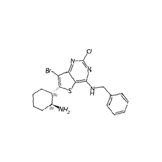 N[C@H]1CCCC[C@@H]1c1sc2c(NCc3ccccc3)nc(Cl)nc2c1Br